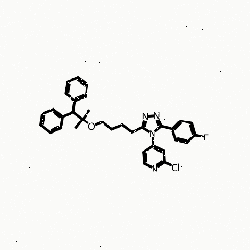 CC(C)(OCCCCc1nnc(-c2ccc(F)cc2)n1-c1ccnc(Cl)c1)C(c1ccccc1)c1ccccc1